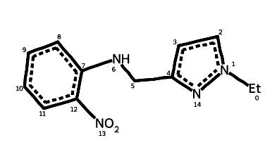 CCn1ccc(CNc2ccccc2[N+](=O)[O-])n1